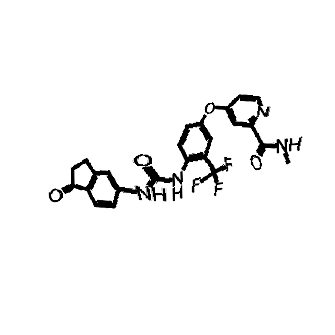 CNC(=O)c1cc(Oc2ccc(NC(=O)Nc3ccc4c(c3)CCC4=O)c(C(F)(F)F)c2)ccn1